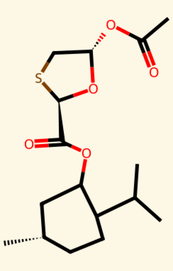 CC(=O)O[C@H]1CS[C@H](C(=O)OC2C[C@@H](C)CCC2C(C)C)O1